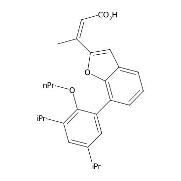 CCCOc1c(-c2cccc3cc(/C(C)=C\C(=O)O)oc23)cc(C(C)C)cc1C(C)C